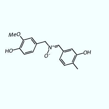 COc1cc(C/[N+]([O-])=C/c2ccc(C)c(O)c2)ccc1O